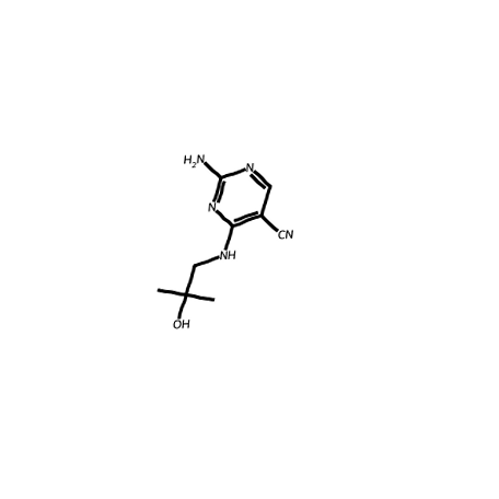 CC(C)(O)CNc1nc(N)ncc1C#N